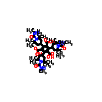 CNC(=O)N1C(C)(C)CC(c2c(C(=O)O)c(C3CC(C)(C)N(C(=O)NC)C(C)(C)C3)c(C(=O)O)c(C3CC(C)(C)N(C(=O)NC)C(C)(C)C3)c2C(=O)O)CC1(C)C